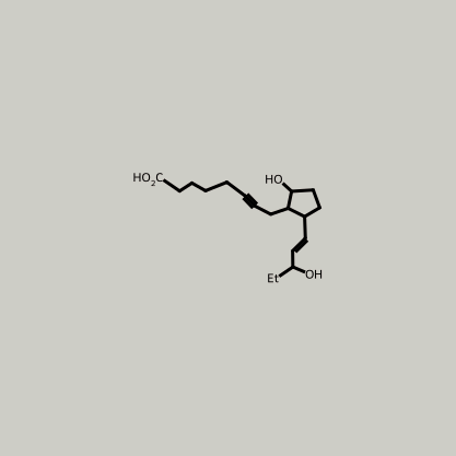 CCC(O)C=CC1CCC(O)C1CC#CCCCCC(=O)O